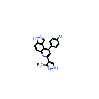 FC(F)(F)c1n[nH]cc1-c1cc(-c2ccc(Cl)cc2)c2c(ccc3[nH]ncc32)n1